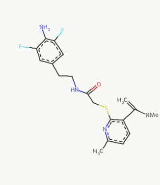 C=C(NC)c1ccc(C)nc1SCC(=O)NCCc1cc(F)c(N)c(F)c1